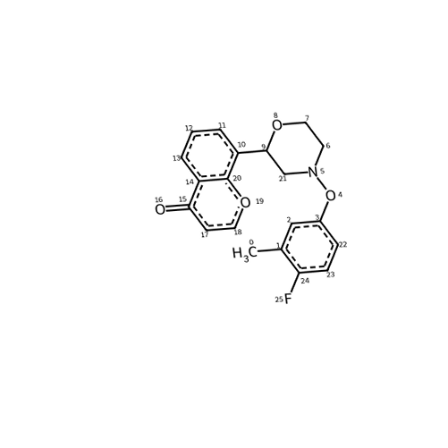 Cc1cc(ON2CCOC(c3cccc4c(=O)ccoc34)C2)ccc1F